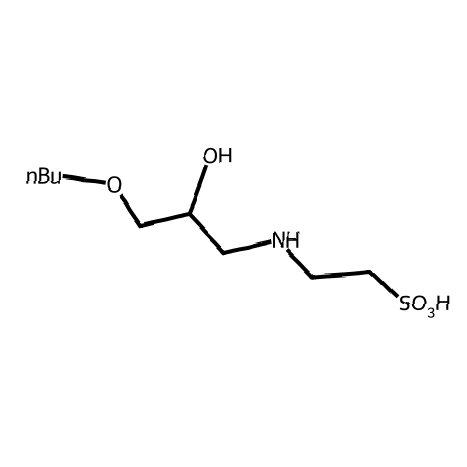 CCCCOCC(O)CNCCS(=O)(=O)O